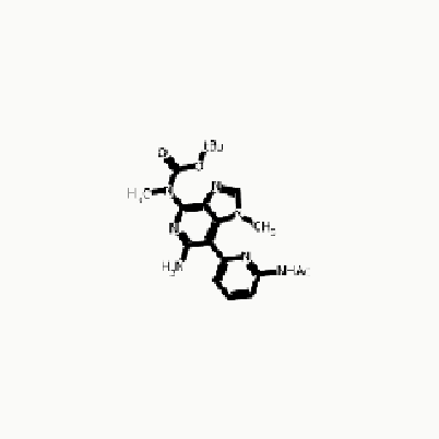 CC(=O)Nc1cccc(-c2c(N)nc(N(C)C(=O)OC(C)(C)C)c3ncn(C)c23)n1